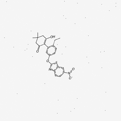 CCc1ccc(Oc2nc3ccc([N+](=O)[O-])cc3s2)cc1C1=C(O)CC(C)(C)CC1=O